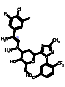 Cc1nc(C2CC(N(N)/C=C(\N)c3cc(F)c(Cl)c(F)c3)C(O)C(CO)O2)n(-c2cc(Cl)ccc2C(F)(F)F)n1